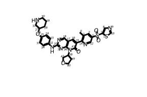 Cc1cc(S(=O)(=O)c2cncs2)cnc1-c1cc2cnc(Nc3ccc(OC4CCCNC4)cc3)nc2n(C2CCOC2)c1=O